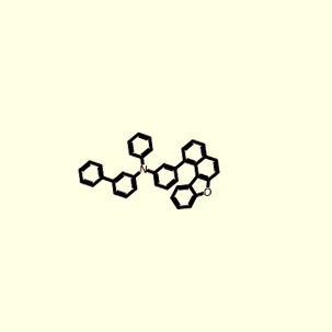 c1ccc(-c2cccc(N(c3ccccc3)c3cccc(-c4cccc5ccc6oc7ccccc7c6c45)c3)c2)cc1